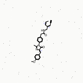 C#C/C=C(\C=C/C)CNC(=O)Cc1ccc(N2C(=O)/C(=C/c3ccc(OC)cc3)N=C2C)cc1